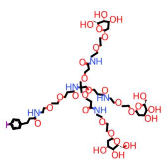 O=C(CCOCC(COCCC(=O)NCCOCCO[C@H]1C[C@@H](O)[C@@H](O)[C@@H](CO)O1)(COCCC(=O)NCCOCCO[C@H]1C[C@@H](O)[C@@H](O)[C@@H](CO)O1)NC(=O)CCOCCOCCNC(=O)CCc1ccc(I)cc1)NCCOCCO[C@H]1C[C@@H](O)[C@@H](O)[C@@H](CO)O1